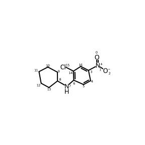 O=[N+]([O-])c1ccc(NC2CCCCC2)c(Cl)c1